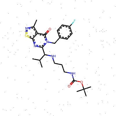 Cc1nsc2nc(C(NCCCNC(=O)OC(C)(C)C)C(C)C)n(Cc3ccc(F)cc3)c(=O)c12